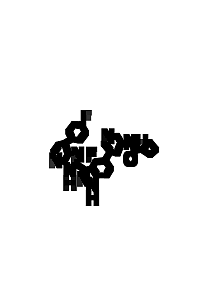 O=C(Nc1cncc(-c2ccc3[nH]nc(-c4nc5c(-c6ccc(F)cc6)ccnc5[nH]4)c3c2F)c1)C1CCC1